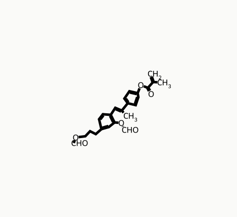 C=C(C)C(=O)Oc1ccc(/C(C)=C/c2ccc(CCCOC=O)cc2OC=O)cc1